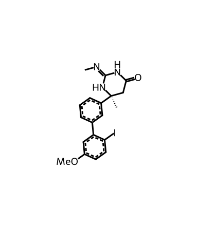 C/N=C1/NC(=O)C[C@@](C)(c2cccc(-c3cc(OC)ccc3I)c2)N1